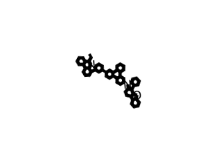 C/C=c1\c2ccccc2c2cccc3c4cc(-c5ccc6c7ccc(-n8c9ccccc9c9c%10oc%11ccccc%11c%10ccc98)cc7c7ccccc7c6c5)ccc4n1c23